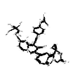 O=C1Cn2nc3ccc(-c4cn5ccc(NCC(F)(F)F)nc5c(-c5ccc(OC(F)F)cc5)c4=O)cc3c2C2(CC2)N1